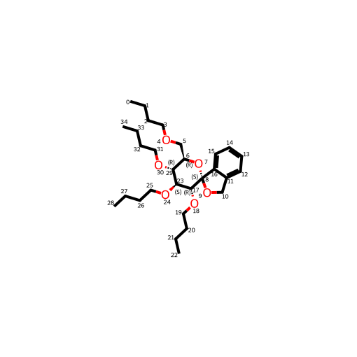 CCCCOC[C@H]1O[C@]2(OCc3ccccc32)[C@H](OCCCC)[C@@H](OCCCC)[C@@H]1OCCCC